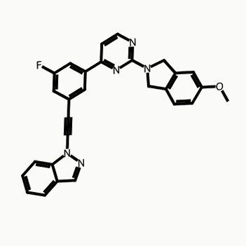 COc1ccc2c(c1)CN(c1nccc(-c3cc(F)cc(C#Cn4ncc5ccccc54)c3)n1)C2